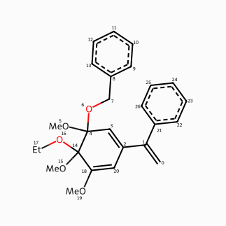 C=C(C1=CC(OC)(OCc2ccccc2)C(OC)(OCC)C(OC)=C1)c1ccccc1